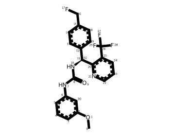 COc1cccc(NC(=O)N[C@@H](c2ccc(CF)cc2)c2ncccc2C(F)(F)F)c1